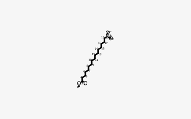 COC(=O)CCCCCCCCCCCCCCC[N+](=O)[O-]